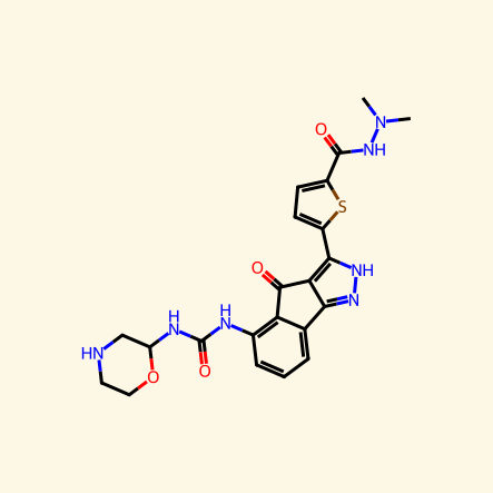 CN(C)NC(=O)c1ccc(-c2[nH]nc3c2C(=O)c2c(NC(=O)NC4CNCCO4)cccc2-3)s1